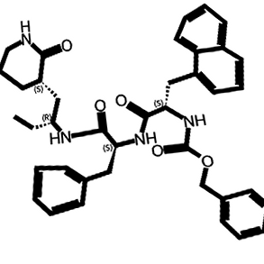 CC[C@H](C[C@@H]1CCCNC1=O)NC(=O)[C@H](Cc1ccccc1)NC(=O)[C@H](Cc1cccc2ccccc12)NC(=O)OCc1ccccc1